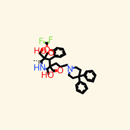 CCC1(C(=O)O)C(c2ccccc2OC(F)F)C(CCCN2CCC(c3ccccc3)(c3ccccc3)CC2)(C(=O)O)C(C)N[C@@H]1C